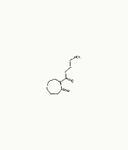 CCCCCCCCCCCC(=O)N1CCCCCC1=O